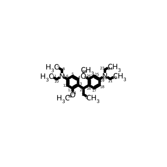 CCC(c1ccc(N(CC)CC)cc1OC)c1ccc(N(CC)CC)cc1OC